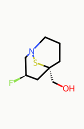 OC[C@]12CCCN(C[C@H](F)C1)S2